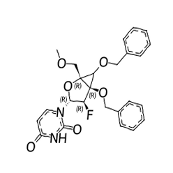 COC[C@]12O[C@@H](n3ccc(=O)[nH]c3=O)[C@H](F)[C@@]1(OCc1ccccc1)C2OCc1ccccc1